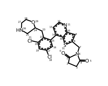 O=C1CCC(=O)N1Cc1cc2nccc(-c3cc(Cl)cc(Cl)c3CC3CNCCO3)c2s1